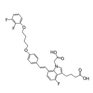 O=C(O)CCCc1cn(CC(=O)O)c2c(C=Cc3ccc(OCCCCOc4cccc(F)c4F)cc3)ccc(F)c12